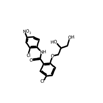 O=C(Nc1ccc([N+](=O)[O-])cc1Cl)c1cc(Cl)ccc1OCC(O)CO